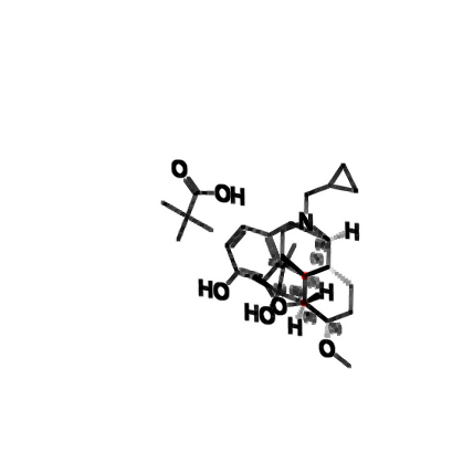 CC(C)(C)C(=O)O.CO[C@@]12CC[C@@]3(C[C@@H]1[C@](C)(O)C(C)(C)C)[C@H]1Cc4ccc(O)c5c4[C@@]3(CCN1CC1CC1)[C@H]2O5